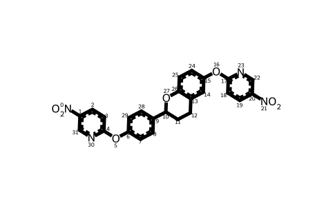 O=[N+]([O-])c1ccc(Oc2ccc(C3CCc4cc(Oc5ccc([N+](=O)[O-])cn5)ccc4O3)cc2)nc1